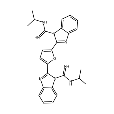 CC(C)NC(=N)n1c(-c2ccc(-c3nc4ccccc4n3C(=N)NC(C)C)o2)nc2ccccc21